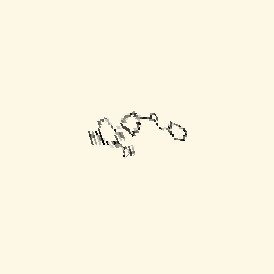 O[C@H]1CNCC[C@@H]1c1ccc(OCc2ccccc2)cc1